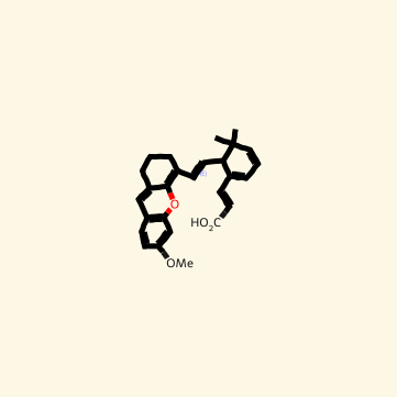 COc1ccc2c(c1)OC1=C(/C=C/C3C(C=CC(=O)O)=CC=CC3(C)C)CCCC1=C2